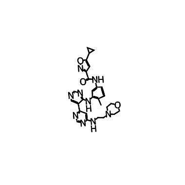 Cc1ccc(NC(=O)c2cc(C3CC3)on2)cc1Nc1ncncc1-c1cc(NCCN2CCOCC2)ncn1